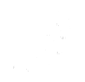 Cc1cc(-c2ccc(F)nc2)cc(C(=O)Nc2nc(C)cs2)n1